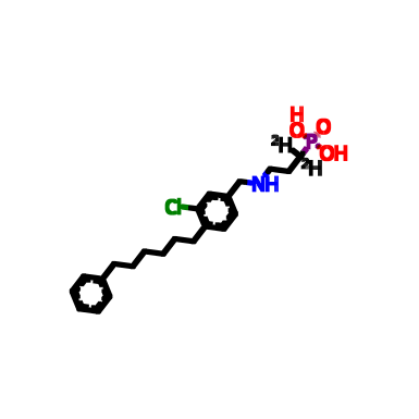 [2H]C([2H])(CCNCc1ccc(CCCCCCc2ccccc2)c(Cl)c1)P(=O)(O)O